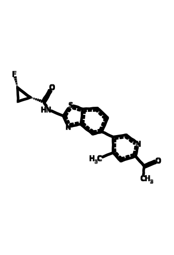 CC(=O)c1cc(C)c(-c2ccc3sc(NC(=O)[C@@H]4C[C@@H]4F)nc3c2)cn1